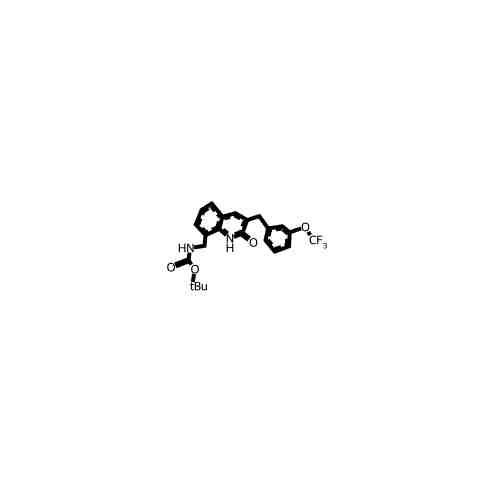 CC(C)(C)OC(=O)NCc1cccc2cc(Cc3cccc(OC(F)(F)F)c3)c(=O)[nH]c12